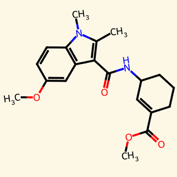 COC(=O)C1=CC(NC(=O)c2c(C)n(C)c3ccc(OC)cc23)CCC1